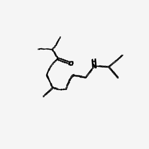 CC(CCCNC(C)C)CC(=O)C(C)C